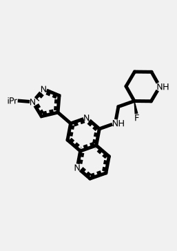 CC(C)n1cc(-c2cc3ncccc3c(NC[C@]3(F)CCCNC3)n2)cn1